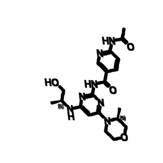 CC(=O)Nc1ccc(C(=O)Nc2nc(N[C@@H](C)CO)cc(N3CCOC[C@@H]3C)n2)cn1